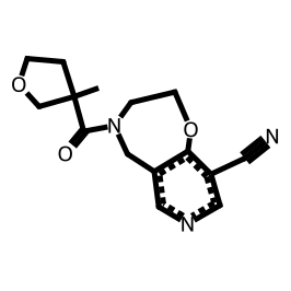 CC1(C(=O)N2CCOc3c(C#N)cncc3C2)CCOC1